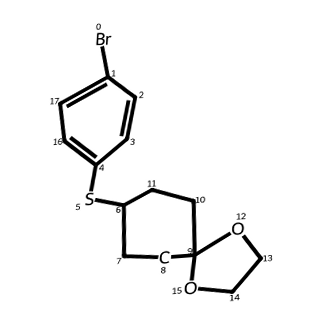 Brc1ccc(SC2CCC3(CC2)OCCO3)cc1